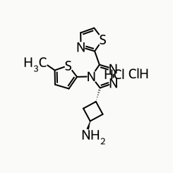 Cc1ccc(-n2c(-c3nccs3)nnc2[C@H]2C[C@H](N)C2)s1.Cl.Cl